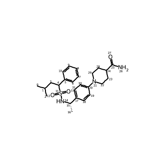 CC(C)CC(c1ccccc1)S(=O)(=O)N[C@@H](C)c1ccc(N2CCC(C(N)=O)CC2)cc1